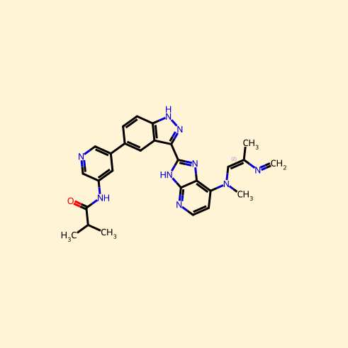 C=N/C(C)=C\N(C)c1ccnc2[nH]c(-c3n[nH]c4ccc(-c5cncc(NC(=O)C(C)C)c5)cc34)nc12